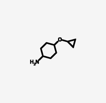 NC1CCC(OC2CC2)CC1